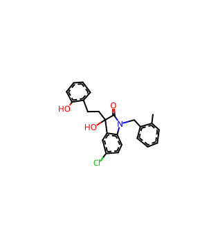 Cc1ccccc1CN1C(=O)C(O)(CCc2ccccc2O)c2cc(Cl)ccc21